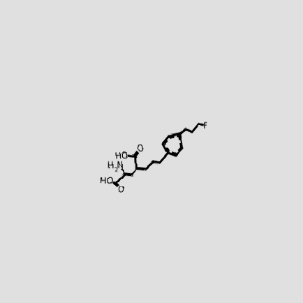 N[C@@H](C[C@H](CCCc1ccc(CCCF)cc1)C(=O)O)C(=O)O